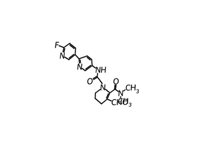 CN(C)C(=O)C1=C(C=O)CCCN1CC(=O)Nc1ccc(-c2ccc(F)nc2)nc1